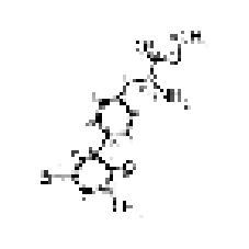 COC(=O)[C@@H](N)Cc1ccc(-c2cc(Br)cn(C)c2=O)cc1